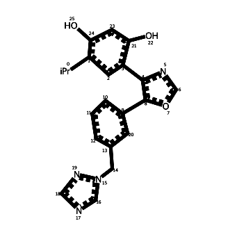 CC(C)c1cc(-c2ncoc2-c2cccc(Cn3cncn3)c2)c(O)cc1O